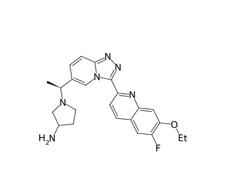 CCOc1cc2nc(-c3nnc4ccc([C@H](C)N5CCC(N)C5)cn34)ccc2cc1F